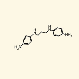 Nc1ccc(NCCCNc2ccc(N)cc2)cc1